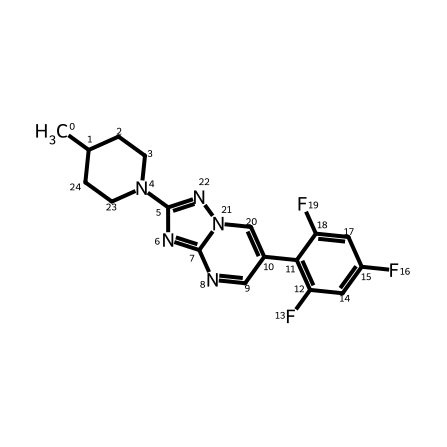 CC1CCN(c2nc3ncc(-c4c(F)cc(F)cc4F)cn3n2)CC1